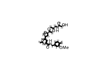 COc1cc(CNC(=O)c2cc(C3=NOC([C@H]4CO[C@H](CNC(=O)CO)CO4)C3)nc(C)n2)ccc1F